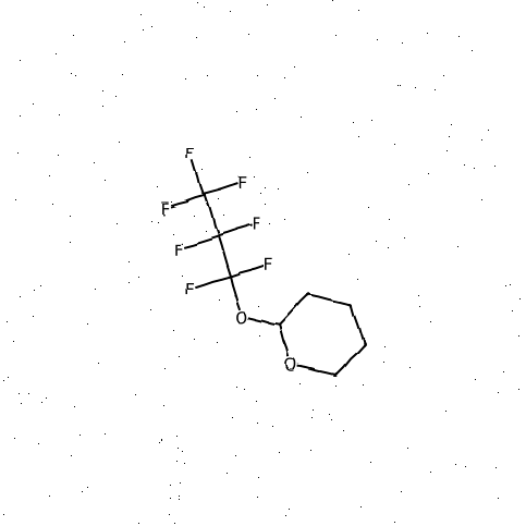 FC(F)(F)C(F)(F)C(F)(F)OC1CCCCO1